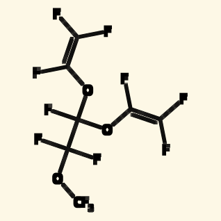 FC(F)=C(F)OC(F)(OC(F)=C(F)F)C(F)(F)OC(F)(F)F